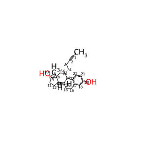 CC#CCC[C@H]1C[C@]2(C)[C@@H](O)CC[C@H]2[C@@H]2CCc3cc(O)ccc3C12